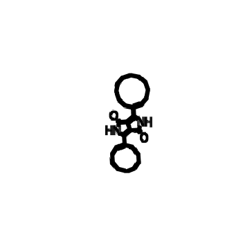 O=C1NC(/C2=C/CCCCCCCCCC2)=C2C(=O)NC(/C3=C/CCCCCCCC3)=C12